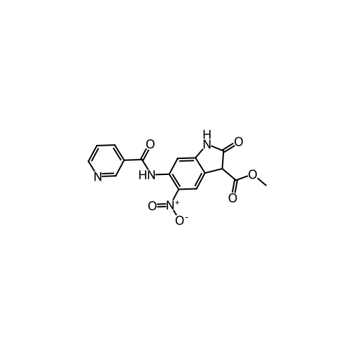 COC(=O)C1C(=O)Nc2cc(NC(=O)c3cccnc3)c([N+](=O)[O-])cc21